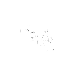 CCC(CC)n1ccc2c(C)nc3c(-c4cnc(N(C)C)cc4C)cccc3c21